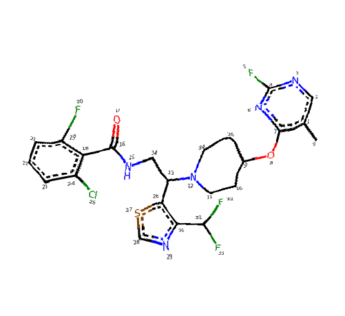 Cc1cnc(F)nc1OC1CCN(C(CNC(=O)c2c(F)cccc2Cl)c2scnc2C(F)F)CC1